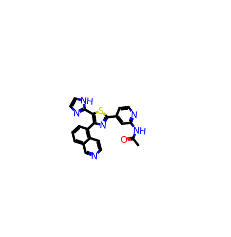 CC(=O)Nc1cc(-c2nc(-c3cccc4cnccc34)c(-c3ncc[nH]3)s2)ccn1